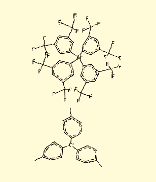 Cc1ccc([C+](c2ccc(C)cc2)c2ccc(C)cc2)cc1.FC(F)(F)c1cc(C(F)(F)F)c[c]([Al-]([c]2cc(C(F)(F)F)cc(C(F)(F)F)c2)([c]2cc(C(F)(F)F)cc(C(F)(F)F)c2)[c]2cc(C(F)(F)F)cc(C(F)(F)F)c2)c1